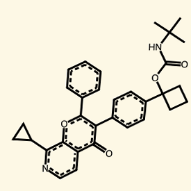 CC(C)(C)NC(=O)OC1(c2ccc(-c3c(-c4ccccc4)oc4c(C5CC5)nccc4c3=O)cc2)CCC1